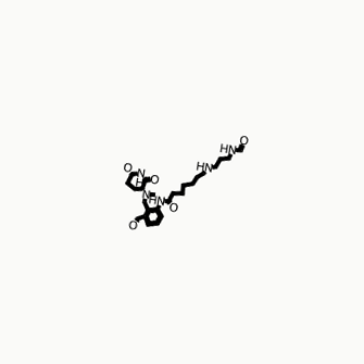 CN(Cc1c(C=O)cccc1NC(=O)CCCCCCNCCCNC=O)C1CCC(=O)NC1=O